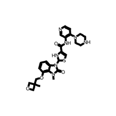 Cn1c(=O)n(C2NC(C(=O)Nc3cnccc3N3CCNCC3)=CS2)c2cccc(OCC3(C)COC3)c21